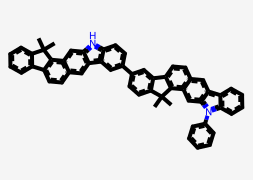 CC1(C)c2ccccc2-c2ccc3cc4c(cc3c21)[nH]c1ccc(-c2ccc3c(c2)-c2ccc5cc6c7ccccc7n(-c7ccccc7)c6cc5c2C3(C)C)cc14